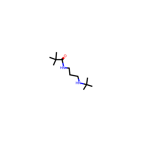 CC(C)(C)NCCCNC(=O)C(C)(C)C